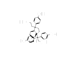 CCCC(CCCC(CC)(c1ccc(O)cc1)c1ccc(O)cc1)(c1ccc(O)cc1)c1ccc(O)cc1